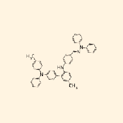 Cc1ccc(N(c2ccccc2)c2ccc(-c3cc(C)ccc3Nc3ccc(C=NN(c4ccccc4)c4ccccc4)cc3)cc2)cc1